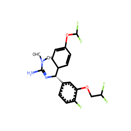 CN(C=O)/C(N)=N\[C@@H](c1ccc(F)c(OCC(F)F)c1)C1C=CC(OC(F)F)=CC1